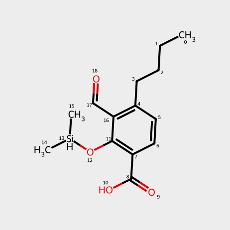 CCCCc1ccc(C(=O)O)c(O[SiH](C)C)c1C=O